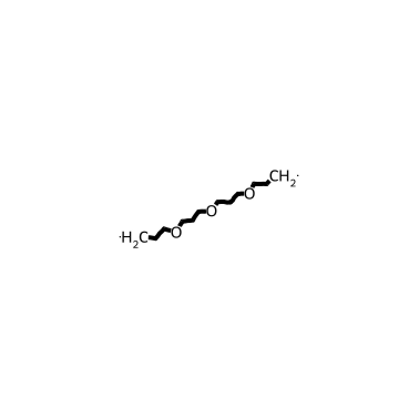 [CH2]CCOCCCOCCCOCC[CH2]